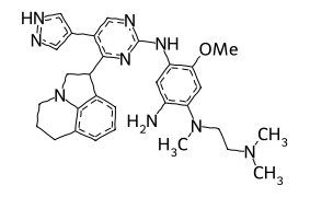 COc1cc(N(C)CCN(C)C)c(N)cc1Nc1ncc(-c2cn[nH]c2)c(C2CN3CCCc4cccc2c43)n1